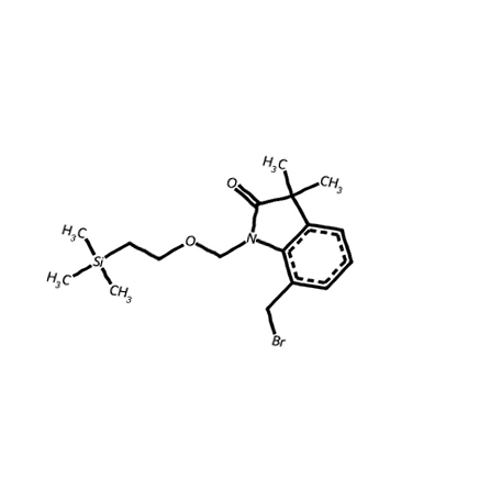 CC1(C)C(=O)N(COCC[Si](C)(C)C)c2c(CBr)cccc21